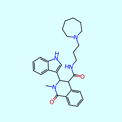 CN1C(=O)c2ccccc2C(C(=O)NCCCN2CCCCCC2)C1c1c[nH]c2ccccc12